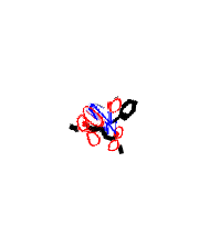 CCOC(=O)CC1(C(=O)OCC)N=C(c2ccccc2OC)N(C)O1